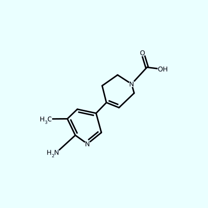 Cc1cc(C2=CCN(C(=O)O)CC2)cnc1N